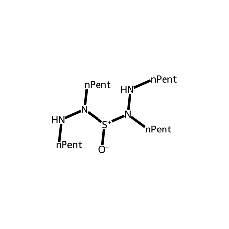 CCCCCNN(CCCCC)[S+]([O-])N(CCCCC)NCCCCC